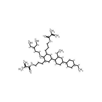 C=C(C)C(=O)OCCCC1CC(C2CCC(C3CCC(CC)CC3)CC2CC)CC(CCCOC(=O)C(=C)C)C1OCCC(CO)CO